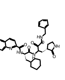 O=C(NCc1ccccc1)C(=O)C(C[C@@H]1CCNC1=O)NC(=O)[C@H](CC1CCCCC1)NC(=O)c1ccc2ccccc2n1